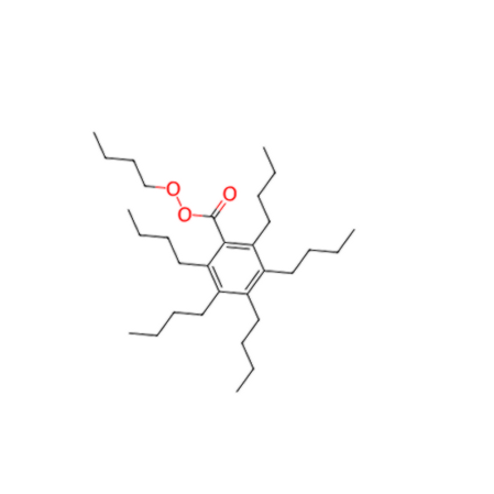 CCCCOOC(=O)c1c(CCCC)c(CCCC)c(CCCC)c(CCCC)c1CCCC